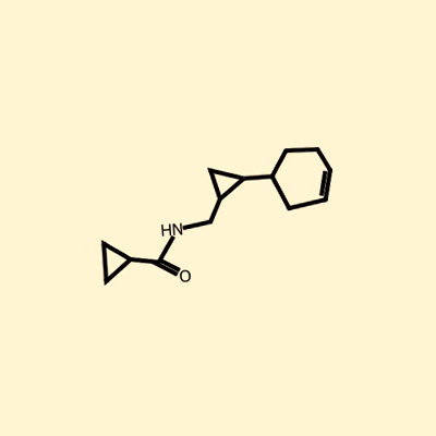 O=C(NCC1CC1C1CC=CCC1)C1CC1